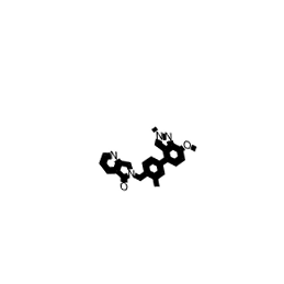 COc1ccc(-c2ccc(CN3Cc4ncccc4C3=O)c(C)c2)c2cn(C)nc12